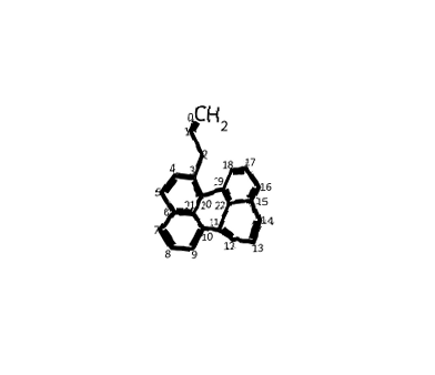 C=CCc1ccc2cccc3c4cccc5cccc(c1c23)c54